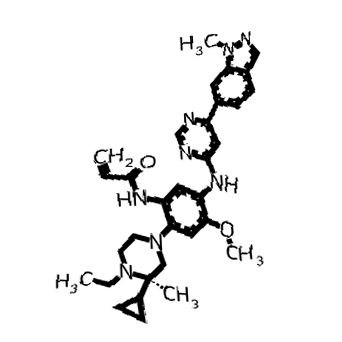 C=CC(=O)Nc1cc(Nc2cc(-c3ccc4cnn(C)c4c3)ncn2)c(OC)cc1N1CCN(CC)[C@](C)(C2CC2)C1